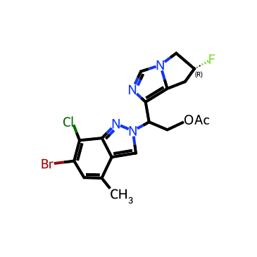 CC(=O)OCC(c1ncn2c1C[C@@H](F)C2)n1cc2c(C)cc(Br)c(Cl)c2n1